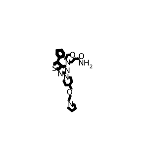 NC(=O)C1CN(c2nc(N3CCC(COCCN4CCCC4)CC3)nc3scc(-c4ccccc4)c23)CCO1